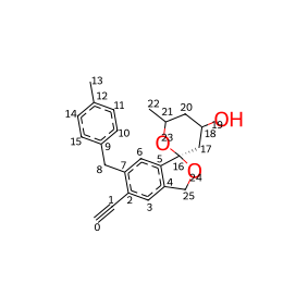 C#Cc1cc2c(cc1Cc1ccc(C)cc1)[C@]1(CC(O)CC(C)O1)OC2